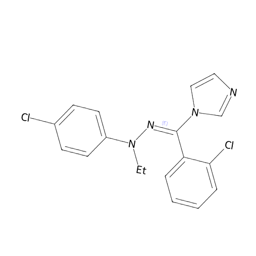 CCN(/N=C(\c1ccccc1Cl)n1ccnc1)c1ccc(Cl)cc1